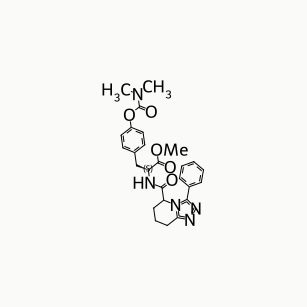 COC(=O)[C@H](Cc1ccc(OC(=O)N(C)C)cc1)NC(=O)C1CCCc2nnc(-c3ccccc3)n21